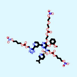 COc1ccccc1Oc1c(OCCOC(=O)OCCOCCO[N+](=O)[O-])nc(-c2ccnc(-c3nnnn3COC(=O)OCCCCO[N+](=O)[O-])c2)nc1N(COC(=O)OCCCCO[N+](=O)[O-])S(=O)(=O)c1ccc(C(C)C)cn1